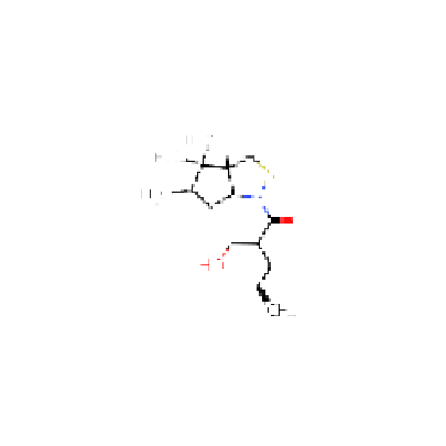 C=CCC(CO)C(=O)N1SCC2(C)C1CC(C)C2(C)C